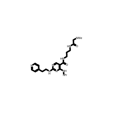 CCCNc1nc(NCCc2ccncc2)ncc1C(=O)NCCCNC(=O)CNC